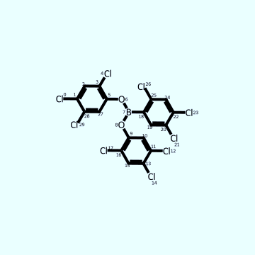 Clc1cc(Cl)c(OB(Oc2cc(Cl)c(Cl)cc2Cl)c2cc(Cl)c(Cl)cc2Cl)cc1Cl